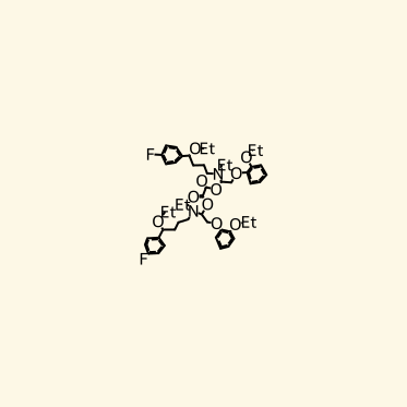 CCOc1ccccc1OCC(OC(=O)C(=O)OC(COc1ccccc1OCC)N(CC)CCCC(OCC)c1ccc(F)cc1)N(CC)CCCC(OCC)c1ccc(F)cc1